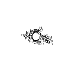 CC[C@H]1OC(=O)[C@H](C)[C@@H](O[C@H]2C[C@@](C)(OC)[C@@H](O)[C@H](C)O2)[C@H](C)[C@@H](C)[C@](C)(O)C[C@@H](C)/C(=N\O[C@@H]2CCNC2)[C@H](C)[C@@H](O)[C@]1(C)O